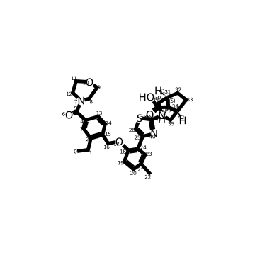 CCc1cc(C(=O)N2CCOCC2)ccc1COc1ccc(C)cc1-c1csc(N2C[C@H]3CC[C@@H](C2)[C@H]3C(=O)O)n1